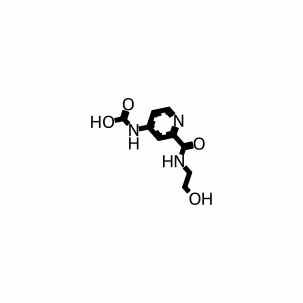 O=C(O)Nc1ccnc(C(=O)NCCO)c1